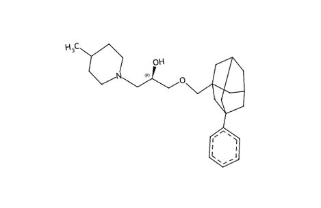 CC1CCN(C[C@@H](O)COCC23CC4CC(C2)CC(c2ccccc2)(C4)C3)CC1